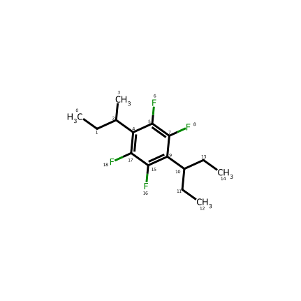 CCC(C)c1c(F)c(F)c(C(CC)CC)c(F)c1F